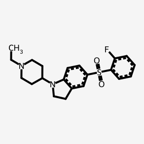 CCN1CCC(N2CCc3cc(S(=O)(=O)c4ccccc4F)ccc32)CC1